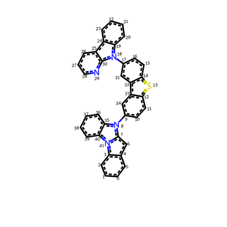 c1ccc2c(c1)cc1n(-c3ccc4sc5ccc(-n6c7ccccc7c7cccnc76)cc5c4c3)c3ccccc3n21